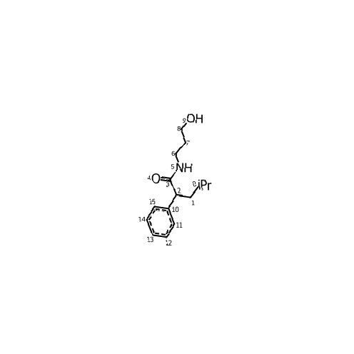 CC(C)CC(C(=O)NCCCO)c1ccccc1